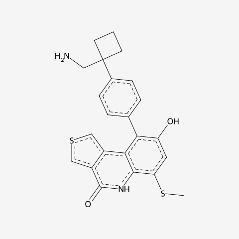 CSc1cc(O)c(-c2ccc(C3(CN)CCC3)cc2)c2c1[nH]c(=O)c1cscc12